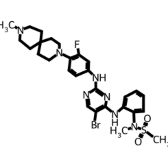 CN1CCC2(CC1)CCN(c1ccc(Nc3ncc(Br)c(Nc4ccccc4N(C)S(C)(=O)=O)n3)cc1F)CC2